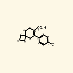 O=C(O)C1=C(c2ccc(Cl)cc2)CC2(CCC2)CC1